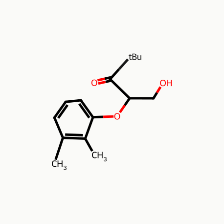 Cc1cccc(OC(CO)C(=O)C(C)(C)C)c1C